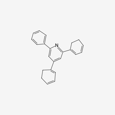 C1=CCCC(c2cc(C3=CC=CCC3)nc(-c3ccccc3)c2)=C1